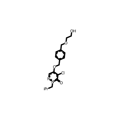 CC(C)Cn1ncc(OCc2ccc(COCCO)cc2)c(Cl)c1=O